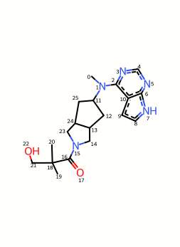 CN(c1ncnc2[nH]ccc12)C1CC2CN(C(=O)C(C)(C)CO)CC2C1